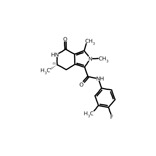 Cc1cc(NC(=O)c2c3c(c(C)n2C)C(=O)N[C@@H](C)C3)ccc1F